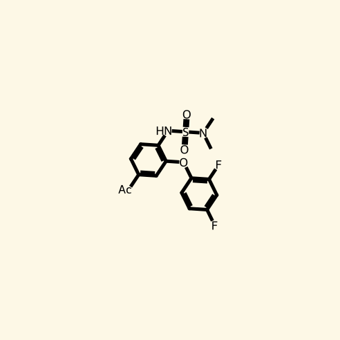 CC(=O)c1ccc(NS(=O)(=O)N(C)C)c(Oc2ccc(F)cc2F)c1